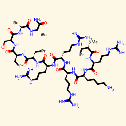 CC[C@H](C)C(NC(=O)[C@@H](NC(=O)[C@H](CO)NC(=O)[C@H](CC(C)C)NC(=O)[C@H](CC(C)C)NC(=O)[C@H](CCCNC(=N)N)NC(=O)[C@H](CCCNC(=N)N)NC(=O)[C@H](CCCNC(=N)N)NC(=O)[C@H](CCCCN)NC(=O)[C@H](CCCNC(=N)N)NC(=O)[C@H](CC(C)C)NC)[C@@H](C)CC)C(N)=O